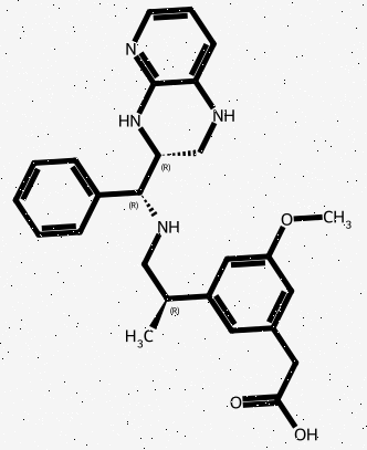 COc1cc(CC(=O)O)cc([C@@H](C)CN[C@H](c2ccccc2)[C@H]2CNc3cccnc3N2)c1